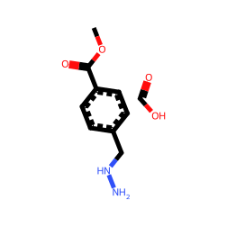 COC(=O)c1ccc(CNN)cc1.O=CO